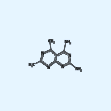 Cc1nc(C)c2c(N)nc(N)nc2n1